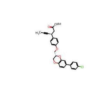 CC#C[C@@H](CC(=O)OC)c1ccc(OC[C@H]2COc3ccc(-c4ccc(Cl)cc4)cc3O2)cc1